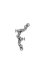 OC(COC1=C2C=CC(OCC(O)COC3C=c4cc(OCC5CO5)ccc4=CC3)=CC2CC=C1)COc1ccc2ccc(OCC3CO3)cc2c1